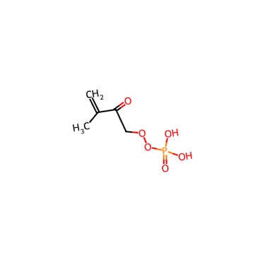 C=C(C)C(=O)COOP(=O)(O)O